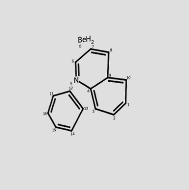 [BeH2].c1ccc2ncccc2c1.c1ccccc1